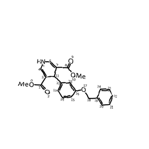 COC(=O)C1=CNC=C(C(=O)OC)C1c1cccc(OCc2ccccc2)c1